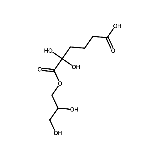 O=C(O)CCCC(O)(O)C(=O)OCC(O)CO